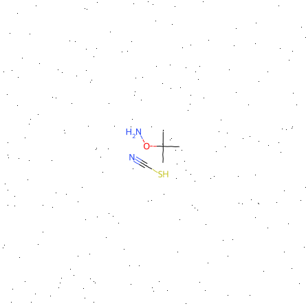 CC(C)(C)ON.N#CS